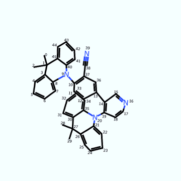 CC1(C)c2ccccc2N(c2ccc(-c3cnccc3N3c4ccccc4C(C)(C)c4ccccc43)cc2C#N)c2ccccc21